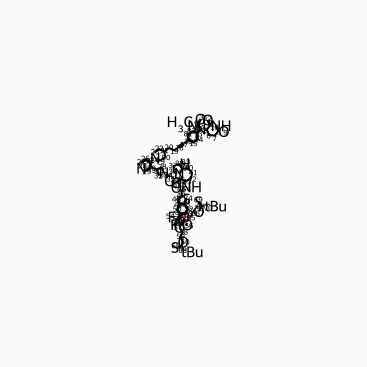 Cn1c(=O)n(C2CCC(=O)NC2=O)c2ccc(C#CCCC3CCN(c4ccncc4C4CN(C(=O)[C@@H]5CC[C@@H]6CCC[C@H](NC(=O)c7cc8cc(C(F)(F)P(=O)(OCCOC(=S)C(C)(C)C)OCCOC(=S)C(C)(C)C)ccc8s7)C(=O)N65)C4)CC3)cc21